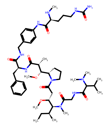 CC[C@H](C)[C@@H]([C@@H](CC(=O)N1CCC[C@H]1[C@H](OC)[C@@H](C)C(=O)N[C@@H](Cc1ccccc1)C(=O)NCc1ccc(NC(=O)[C@H](CCCNC(N)=O)NC)cc1)OC)N(C)C(=O)CNC(=O)C(C(C)C)N(C)C